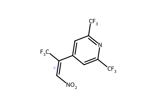 O=[N+]([O-])/C=C(\c1cc(C(F)(F)F)nc(C(F)(F)F)c1)C(F)(F)F